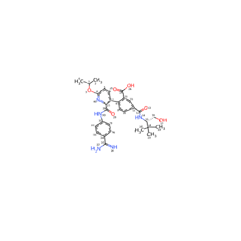 CC(C)Oc1ccc(-c2ccc(C(=O)N[C@H](CO)C(C)(C)C)cc2C(=O)O)c(C(=O)Nc2ccc(C(=N)N)cc2)n1